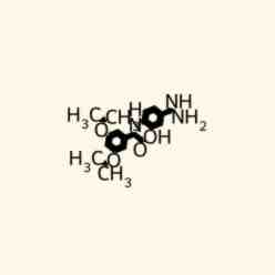 CC(C)Oc1cc(OC(C)C)cc(C(Nc2ccc(C(=N)N)cc2)C(=O)O)c1